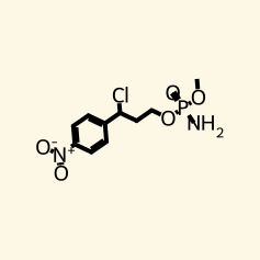 COP(N)(=O)OCCC(Cl)c1ccc([N+](=O)[O-])cc1